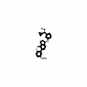 COc1ccc(F)c(-c2ccc3c(c2F)CC[C@H]3Oc2cccc([C@@H](CC(C)=O)C3CC3)c2)c1